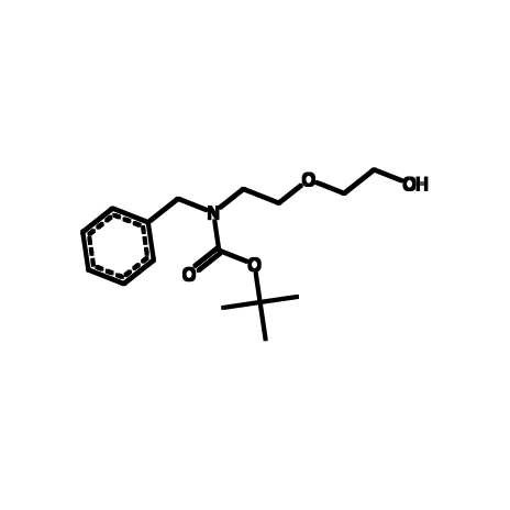 CC(C)(C)OC(=O)N(CCOCCO)Cc1ccccc1